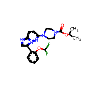 CC(C)OC(=O)N1CCN(c2ccc3ncc(-c4ccccc4OC(F)F)n3n2)CC1